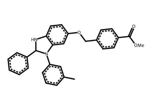 COC(=O)c1ccc(COc2ccc3c(c2)N(c2cccc(C)c2)C(c2ccccc2)N3)cc1